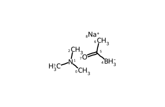 CN(C)C.[BH3-]C(C)=O.[Na+]